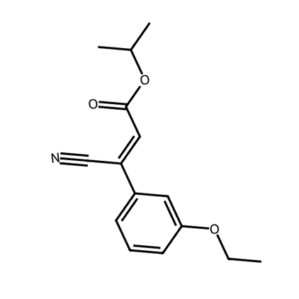 CCOc1cccc(C(C#N)=CC(=O)OC(C)C)c1